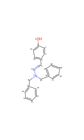 Oc1ccc(C=NN(Cc2ccccc2)Cc2ccccc2)cc1